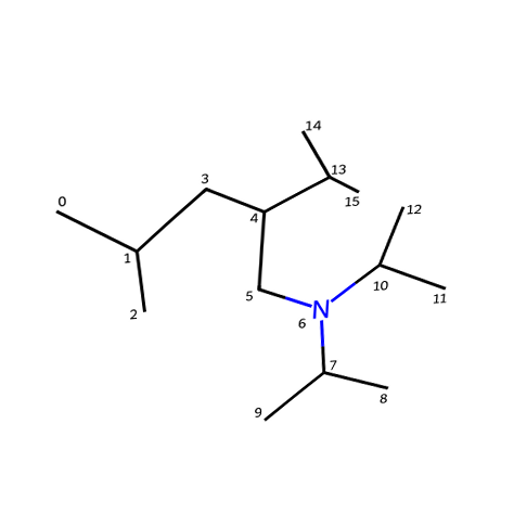 CC(C)CC(CN(C(C)C)C(C)C)C(C)C